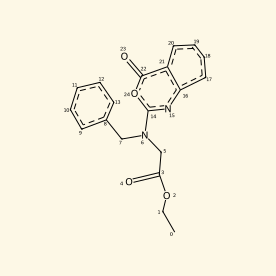 CCOC(=O)CN(Cc1ccccc1)c1nc2ccccc2c(=O)o1